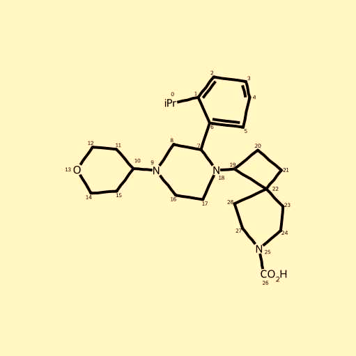 CC(C)c1ccccc1C1CN(C2CCOCC2)CCN1C1CCC12CCN(C(=O)O)CC2